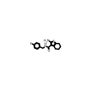 Nc1sc2c(c1C(=O)NCc1ccc(F)cc1)CCCC2